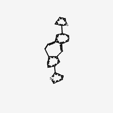 C1=c2ccc(-c3cccs3)cc2=CCc2ccc(-c3cccs3)cc21